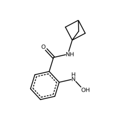 O=C(NC12CC(C1)C2)c1ccccc1NO